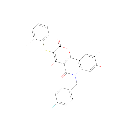 O=c1oc2c(c(O)c1Sc1ccccc1Br)c(=O)n(Cc1ccc(F)cc1)c1cc(O)c(O)cc21